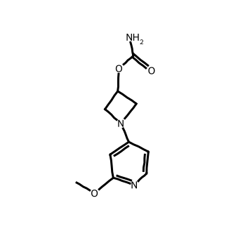 COc1cc(N2CC(OC(N)=O)C2)ccn1